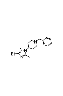 CCc1nc(C)n(C2CCN(Cc3ccccc3)CC2)n1